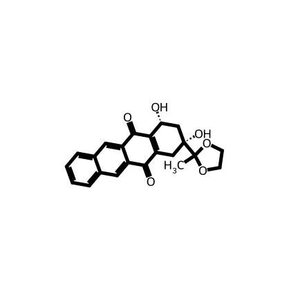 CC1([C@@]2(O)CC3=C(C(=O)c4cc5ccccc5cc4C3=O)[C@H](O)C2)OCCO1